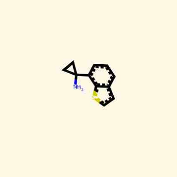 NC1(c2cccc3ccsc23)CC1